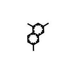 Cc1ccc2c(C)cc(C)cc2c1